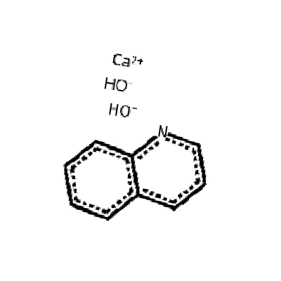 [Ca+2].[OH-].[OH-].c1ccc2ncccc2c1